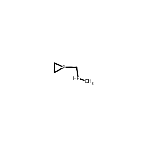 CPCP1CC1